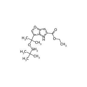 CCOC(=O)c1cc2occ(C(C)(C)O[SiH2]C(C)(C)C)c2[nH]1